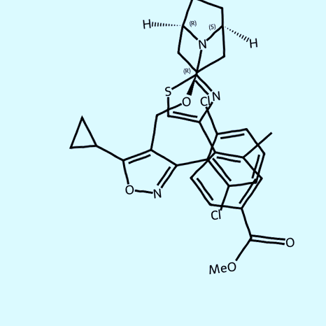 COC(=O)c1ccc(-c2csc(N3[C@@H]4CC[C@H]3C[C@@H](OCc3c(-c5c(Cl)cccc5Cl)noc3C3CC3)C4)n2)c(C)c1